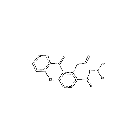 C=CCc1c(C(=O)ON(CC)CC)cccc1C(=O)c1ccccc1O